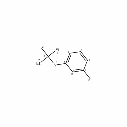 CCC(C)(CC)Nc1cccc(C)c1